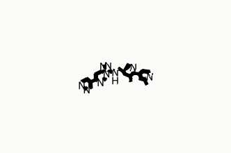 Cc1cc(-c2ncc(CNc3nnc4cc(-c5ccnnc5)ncn34)cc2C)ccn1